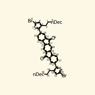 CCCCCCCCCCCCc1cc(Br)sc1-c1ccc2c(c1)c(=O)c1cc3c(cc12)c(=O)c1cc(-c2sc(Br)cc2CCCCCCCCCCCC)ccc13